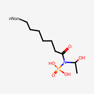 CCCCCCCCCCCCCCCC(=O)N(C(C)O)P(=O)(O)O